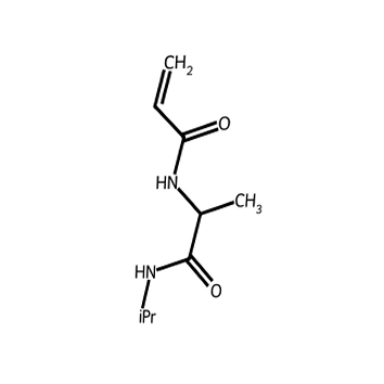 C=CC(=O)NC(C)C(=O)NC(C)C